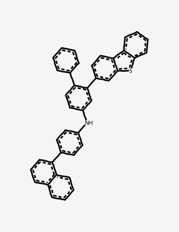 c1ccc(-c2ccc(Nc3ccc(-c4cccc5ccccc45)cc3)cc2-c2ccc3c(c2)sc2ccccc23)cc1